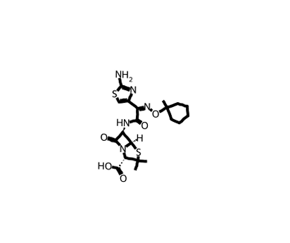 CC1(O/N=C(\C(=O)N[C@H]2C(=O)N3[C@@H]2SC(C)(C)[C@@H]3C(=O)O)c2csc(N)n2)CCCCC1